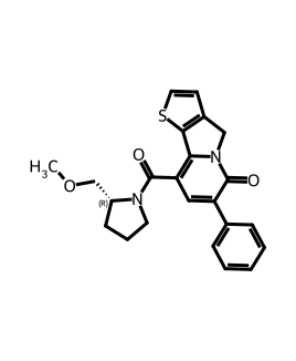 COC[C@H]1CCCN1C(=O)c1cc(-c2ccccc2)c(=O)n2c1-c1sccc1C2